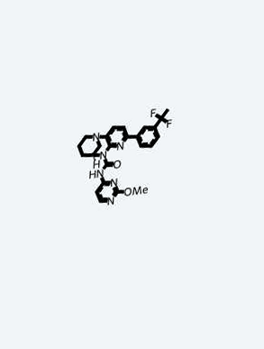 COc1nccc(NC(=O)N2c3nc(-c4cccc(C(C)(F)F)c4)ccc3N3CCC[C@H]2C3)n1